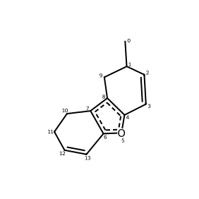 CC1C=Cc2oc3c(c2C1)CCC=C3